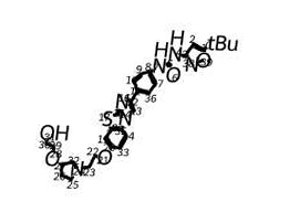 CC(C)(C)c1cc(NC(=O)Nc2ccc(-c3cn4c(n3)sc3cc(OCCN5CC[C@@H](OCCO)C5)ccc34)cc2)no1